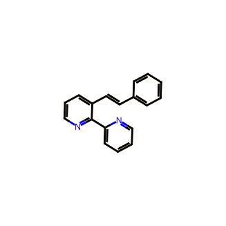 C(=Cc1cccnc1-c1ccccn1)c1ccccc1